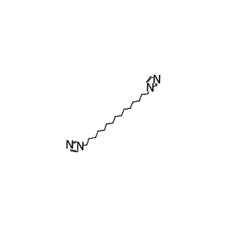 c1cn(CCCCCCCCCCCCCCCn2ccnc2)cn1